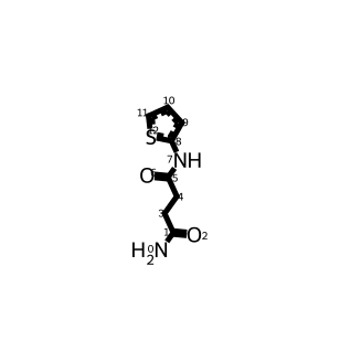 NC(=O)CCC(=O)Nc1cccs1